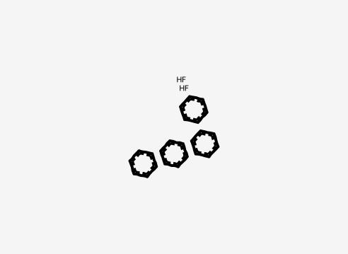 F.F.c1ccccc1.c1ccccc1.c1ccccc1.c1ccccc1